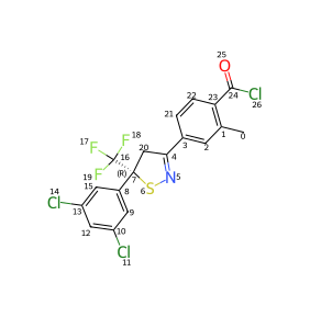 Cc1cc(C2=NS[C@](c3cc(Cl)cc(Cl)c3)(C(F)(F)F)C2)ccc1C(=O)Cl